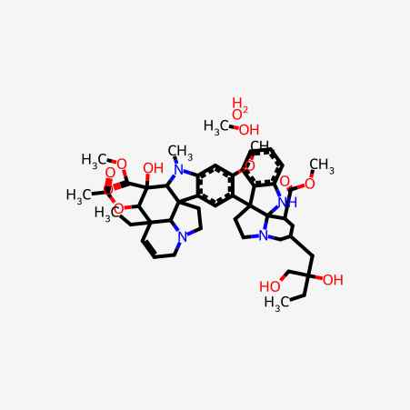 CCC(O)(CO)CC1CC(C(=O)OC)C23Nc4ccccc4C2(c2cc4c(cc2OC)N(C)C2C(O)(C(=O)OC)C(OC(C)=O)C5(CC)C=CCN6CCC42C65)CCN3C1.CO.O